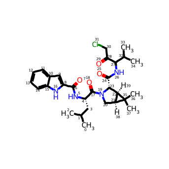 CC(C)C[C@H](NC(=O)c1cc2ccccc2[nH]1)C(=O)N1C[C@H]2[C@@H]([C@H]1C(=O)NC(C(=O)CCl)C(C)C)C2(C)C